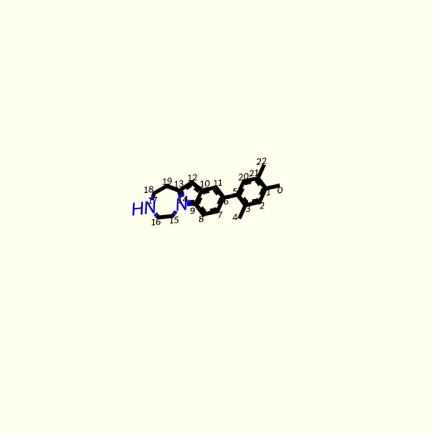 Cc1cc(C)c(-c2ccc3c(c2)cc2n3CCNCC2)cc1C